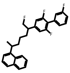 CC(CCCC(CF)c1cc(F)c(-c2cccc(F)c2)c(F)c1)c1cccc2ccccc12